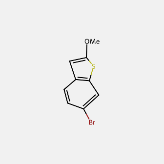 COc1cc2ccc(Br)cc2s1